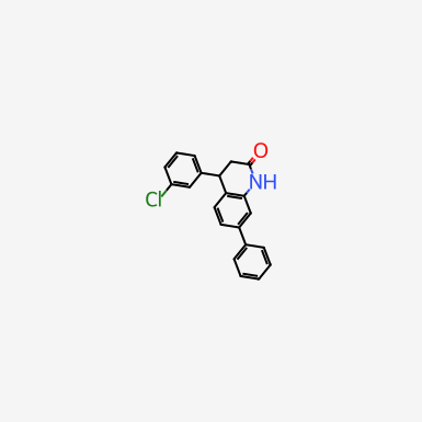 O=C1CC(c2cccc(Cl)c2)c2ccc(-c3ccccc3)cc2N1